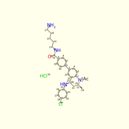 CC(=O)N1c2ccc(-c3ccc(C(=O)NCCCCCN)cc3)cc2[C@H](Nc2ccc(Cl)cc2)C[C@@H]1C.Cl